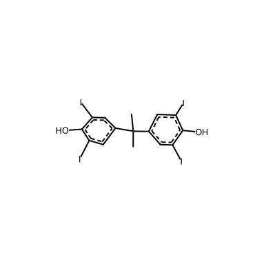 CC(C)(c1cc(I)c(O)c(I)c1)c1cc(I)c(O)c(I)c1